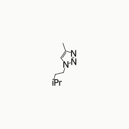 Cc1cn(CCC(C)C)nn1